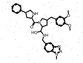 COc1ccc(CC2CC(C(O)NCc3ccc4c(c3)nnn4C)N(C(=O)C3CC(c4ccccc4)CN3)C2)cc1OC